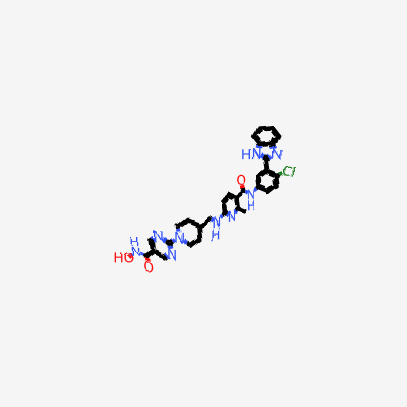 Cc1nc(NCC2CCN(c3ncc(C(=O)NO)cn3)CC2)ccc1C(=O)Nc1ccc(Cl)c(-c2nc3ccccc3[nH]2)c1